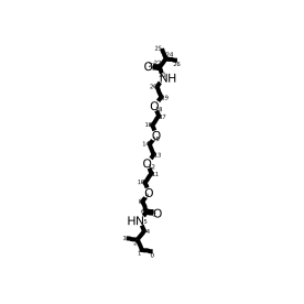 CCC(C)CNC(=O)COCCOCCOCCOCCNC(=O)C(C)C